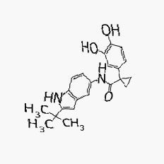 CC(C)(C)c1cc2cc(NC(=O)C3(c4ccc(O)c(O)c4)CC3)ccc2[nH]1